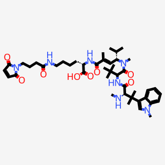 CN[C@H](C(=O)NC(C(=O)N(C)[C@H](/C=C(\C)C(=O)N[C@@H](CCCCNC(=O)CCCN1C(=O)C=CC1=O)C(=O)O)C(C)C)C(C)(C)C)C(C)(C)c1cn(C)c2ccccc12